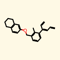 C=C/C=C(\C=C)c1cccc(COc2ccc3c(c2)CCCC3)c1C